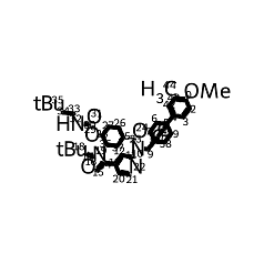 COc1ccc(C23CCC(CN(c4cc(-c5coc(C(C)(C)C)n5)ccn4)C(=O)[C@H]4CC[C@H](OC(=O)NCCC(C)(C)C)CC4)(CC2)CC3)cc1C